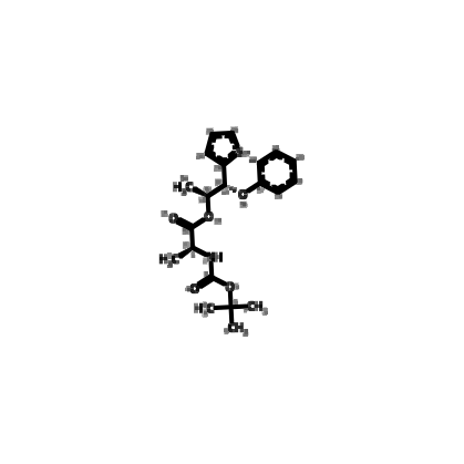 C[C@H](NC(=O)OC(C)(C)C)C(=O)O[C@@H](C)[C@@H](Oc1ccccc1)c1cccs1